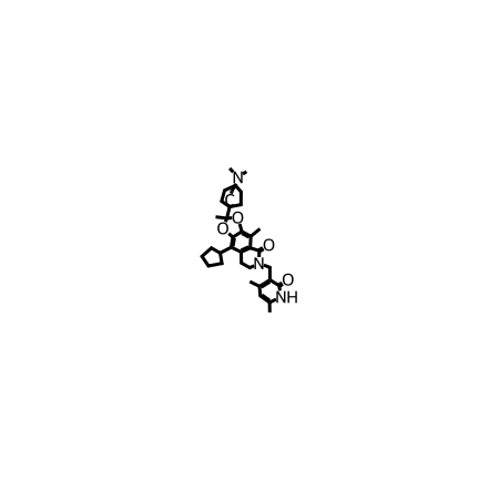 Cc1cc(C)c(CN2CCc3c(c(C)c4c(c3C3CCCC3)OC(C)(C35CCC(N(C)C)(CC3)CC5)O4)C2=O)c(=O)[nH]1